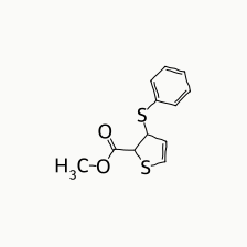 COC(=O)C1SC=CC1Sc1ccccc1